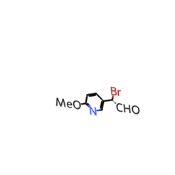 COc1ccc([C@H](Br)C=O)cn1